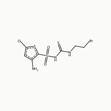 CC(C)CCNC(=S)NS(=O)(=O)c1sc(Cl)cc1N